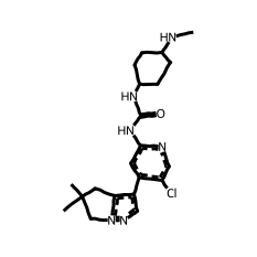 CNC1CCC(NC(=O)Nc2cc(-c3cnn4c3CC(C)(C)C4)c(Cl)cn2)CC1